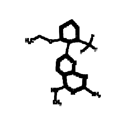 CCOc1cccc(C(F)(F)F)c1-c1ccc2c(NC)nc(N)nc2n1